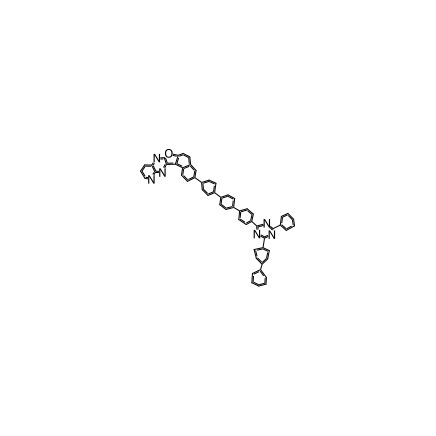 c1ccc(-c2ccc(-c3nc(-c4ccccc4)nc(-c4ccc(-c5ccc(-c6ccc(-c7ccc8c(ccc9oc%10nc%11cccnc%11nc%10c98)c7)cc6)cc5)cc4)n3)cc2)cc1